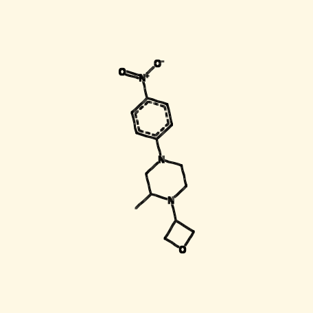 CC1CN(c2ccc([N+](=O)[O-])cc2)CCN1C1COC1